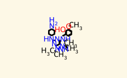 COc1cccc(CNc2nc(NC3CCC(N)CC3)nc3c2N(C(C)C)NN3C(C)C)c1O